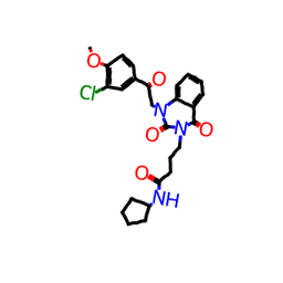 COc1ccc(C(=O)Cn2c(=O)n(CCCC(=O)NC3CCCC3)c(=O)c3ccccc32)cc1Cl